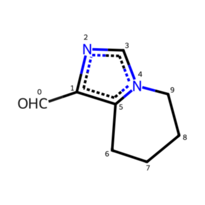 O=Cc1ncn2c1CCCC2